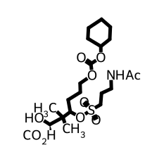 CC(=O)NCCCS(=O)(=O)OC(CCCOC(=O)OC1CCCCC1)C(C)(C)[C@@H](O)C(=O)O